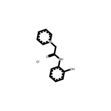 O=C(C[n+]1ccccc1)Nc1ccccc1O.[Cl-]